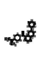 CN(C)[C@H]1CC[C@H](Nc2ncnc3ccc(-c4cncnc4)cc23)CC1